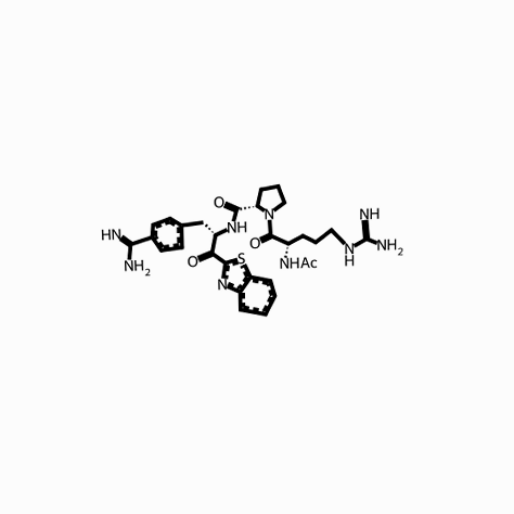 CC(=O)N[C@@H](CCCNC(=N)N)C(=O)N1CCC[C@H]1C(=O)N[C@@H](Cc1ccc(C(=N)N)cc1)C(=O)c1nc2ccccc2s1